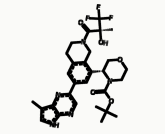 Cc1c[nH]c2ncc(-c3cc4c(c([C@@H]5COCCN5C(=O)OC(C)(C)C)c3)CN(C(=O)[C@](C)(O)C(F)(F)F)CC4)nc12